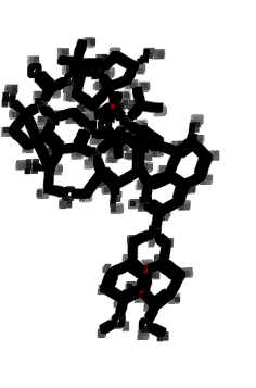 COc1ccc(CN(Cc2ccc(OC)cc2)c2cc3ccc(F)c(C#C[Si](C(C)C)(C(C)C)C(C)C)c3c(C3=C(F)C=C(OC[C@@]45CCCN4C[C@H](F)C5)N4C5=NCN6C7=C5[C@@H](CCCC4=C3F)[C@H](CC7)N6C(=O)OC(C)(C)C)n2)cc1